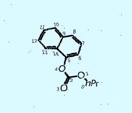 CCCOC(=O)Oc1cccc2ccccc12